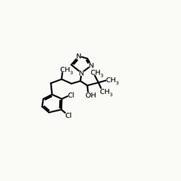 CC(Cc1cccc(Cl)c1Cl)CC(C(O)C(C)(C)C)n1cncn1